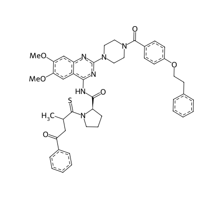 COc1cc2nc(N3CCN(C(=O)c4ccc(OCCc5ccccc5)cc4)CC3)nc(NC(=O)[C@H]3CCCN3C(=S)C(C)CC(=O)c3ccccc3)c2cc1OC